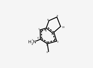 Cc1cc2c(cc1N)CCC2